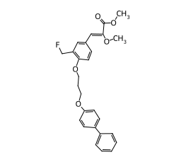 COC(=O)C(=Cc1ccc(OCCCOc2ccc(-c3ccccc3)cc2)c(CF)c1)OC